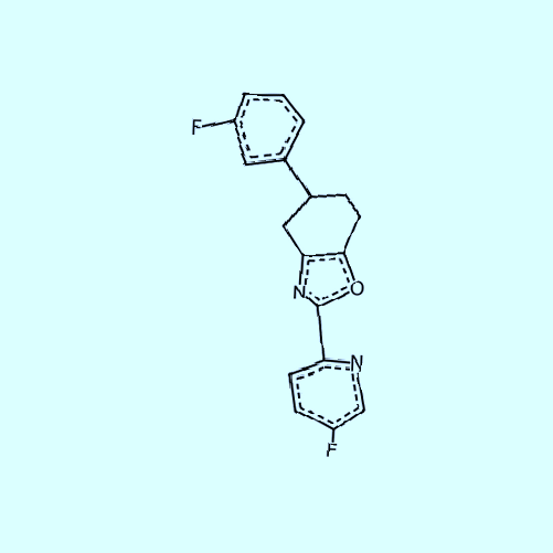 Fc1ccc(-c2nc3c(o2)CCC(c2cccc(F)c2)C3)nc1